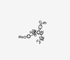 COc1ccc(CN(C2(C#N)CC2)S(=O)(=O)c2cc(N3CCN(C(=O)C(C)C)CC3)c3ncc(-c4nnc(C(F)F)s4)n3c2)cc1